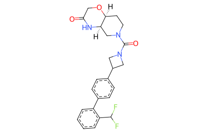 O=C1CO[C@H]2CCN(C(=O)N3CC(c4ccc(-c5ccccc5C(F)F)cc4)C3)C[C@H]2N1